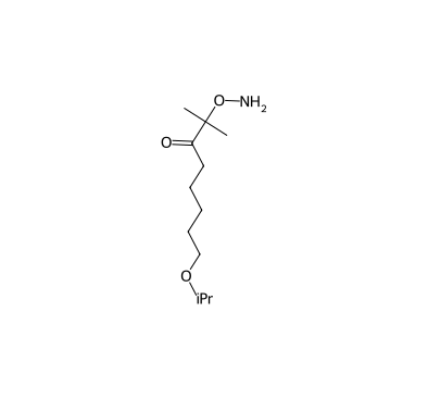 CC(C)OCCCCCC(=O)C(C)(C)ON